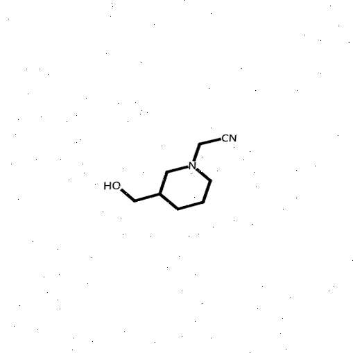 N#CCN1CCCC(CO)C1